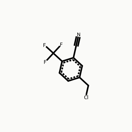 N#Cc1cc(CCl)ccc1C(F)(F)F